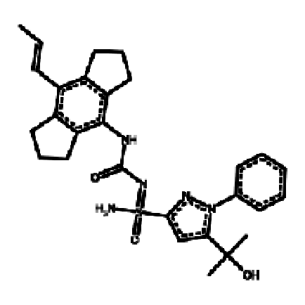 C/C=C/c1c2c(c(NC(=O)N=S(N)(=O)c3cc(C(C)(C)O)n(-c4ccccc4)n3)c3c1CCC3)CCC2